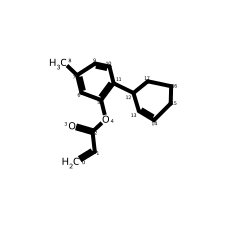 C=CC(=O)Oc1cc(C)ccc1C1C=CCCC1